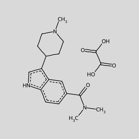 CN1CCC(c2c[nH]c3ccc(C(=O)N(C)C)cc23)CC1.O=C(O)C(=O)O